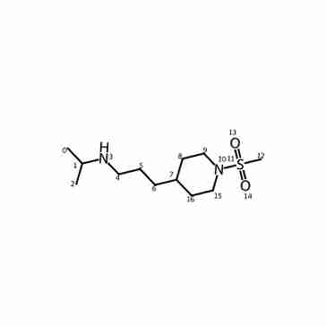 CC(C)NCCCC1CCN(S(C)(=O)=O)CC1